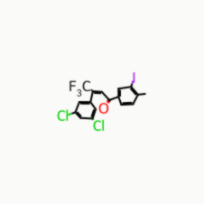 Cc1ccc(C(=O)/C=C(\c2cc(Cl)cc(Cl)c2)C(F)(F)F)cc1I